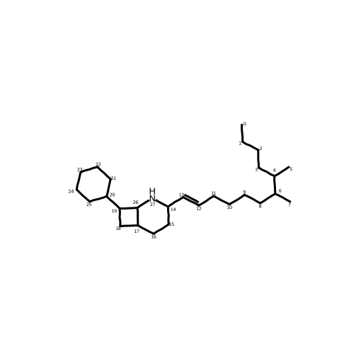 CCCCC(C)C(C)CCCC/C=C/C1CCC2CC(C3CCCCC3)C2N1